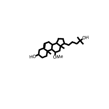 COC1CC2(C)C(CCCC(C)(C)O)CCC2C2CC=C3CC(O)CCC3(C)C12